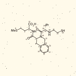 CSCCC(NC(=O)C1Cc2ccccc2CN1C(=O)[C@@H](NCCS)C(C)C)C(=O)O